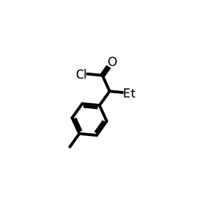 CCC(C(=O)Cl)c1ccc(C)cc1